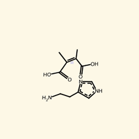 C/C(C(=O)O)=C(\C)C(=O)O.NCCc1c[nH]cn1